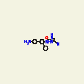 N#Cc1c[nH]c(C(=O)Nc2ccc(-c3ccc(N)cc3)cc2C2=CCCCC2)n1